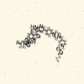 CCCCOC(=O)CN1CCC(CN2CCN(c3ccc(-c4cnc5[nH]cc(C(=O)c6c(F)ccc(NS(=O)(=O)N7CCC(F)C7)c6F)c5c4)cc3)CC2)CC1